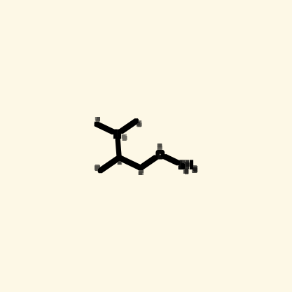 CC(CO[SiH3])N(C)C